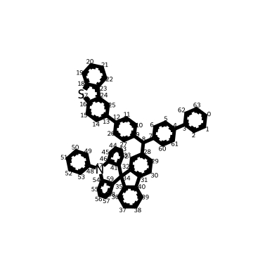 c1ccc(-c2ccc(C(c3ccc(-c4ccc5sc6ccccc6c5c4)cc3)c3ccc4c(c3)C3(c5ccccc5-4)c4ccccc4N(c4ccccc4)c4ccccc43)cc2)cc1